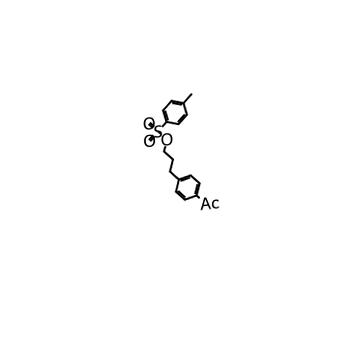 CC(=O)c1ccc(CCCOS(=O)(=O)c2ccc(C)cc2)cc1